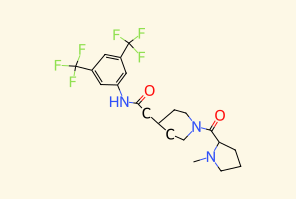 CN1CCCC1C(=O)N1CCC(CC(=O)Nc2cc(C(F)(F)F)cc(C(F)(F)F)c2)CC1